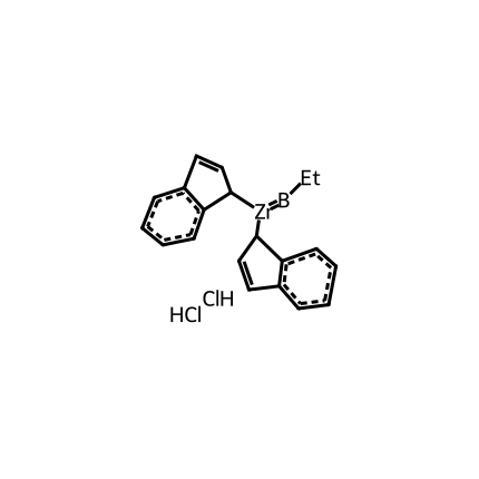 CC[B]=[Zr]([CH]1C=Cc2ccccc21)[CH]1C=Cc2ccccc21.Cl.Cl